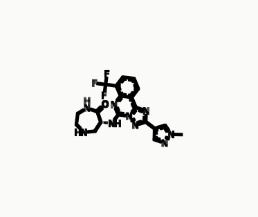 Cn1cc(-c2nc3c4cccc(C(F)(F)F)c4nc(N[C@@H]4CNCCNC4=O)n3n2)cn1